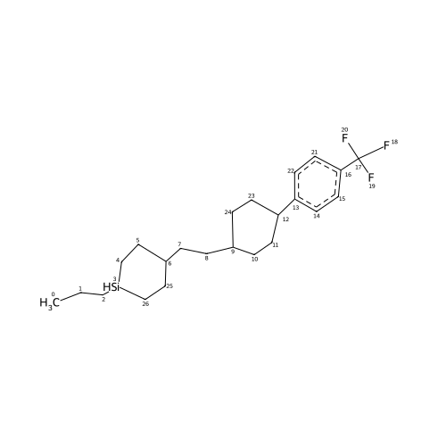 CCC[SiH]1CCC(CCC2CCC(c3ccc(C(F)(F)F)cc3)CC2)CC1